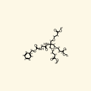 COC(=O)CCOCC(COCCC(=O)OC)(COCCC(=O)OC)NC(=O)CNC(=O)OCc1ccccc1